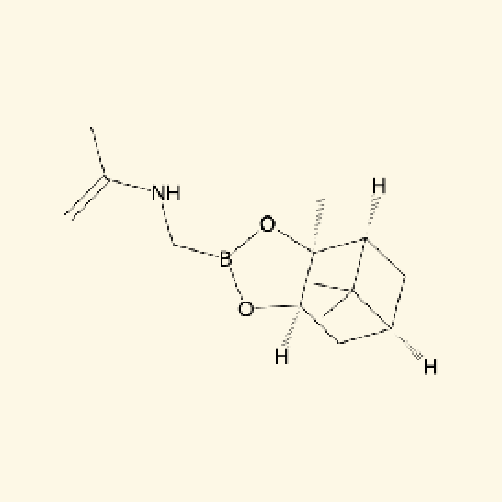 C=C(C)NCB1O[C@@H]2C[C@@H]3C[C@@H](C3(C)C)[C@]2(C)O1